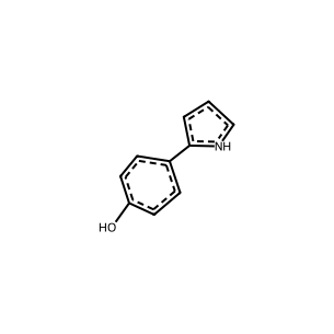 Oc1ccc(-c2ccc[nH]2)cc1